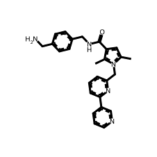 Cc1cc(C(=O)NCc2ccc(CN)cc2)c(C)n1Cc1cccc(-c2cccnc2)n1